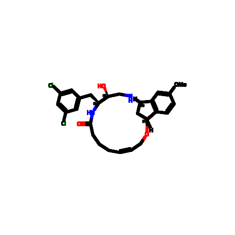 COc1ccc2c(c1)[C@@H]1C[C@H]2OCC=CCCCC(=O)N[C@@H](Cc2cc(Cl)cc(Cl)c2)[C@H](O)CN1